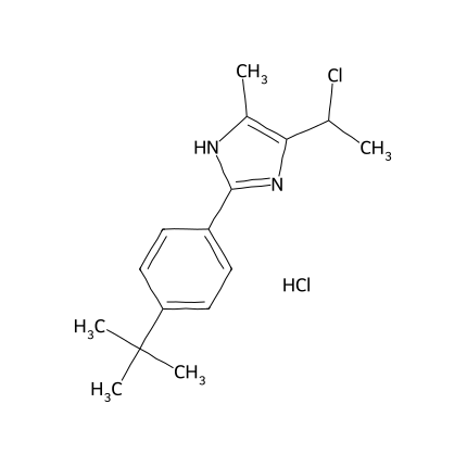 Cc1[nH]c(-c2ccc(C(C)(C)C)cc2)nc1C(C)Cl.Cl